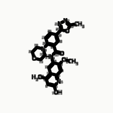 COc1cc2nc(O)cc(C)c2cc1NC(=O)c1cc(-c2nnc(C)o2)ccc1N1CCOCC1